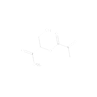 C=C(C)C(=O)OC(CO)C(=O)OC